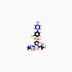 N#CC1(NC(=O)[C@@H]2C[C@@H](S(=O)(=O)c3ccc(N4CCNCC4)cc3Cl)CN2C(=O)C2(C(F)(F)F)CC2)CC1